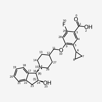 O=C(O)c1cc(C2CC2)c(OCC2CCN([C@@H]3c4ccccc4C[C@@H]3O)CC2)cc1F